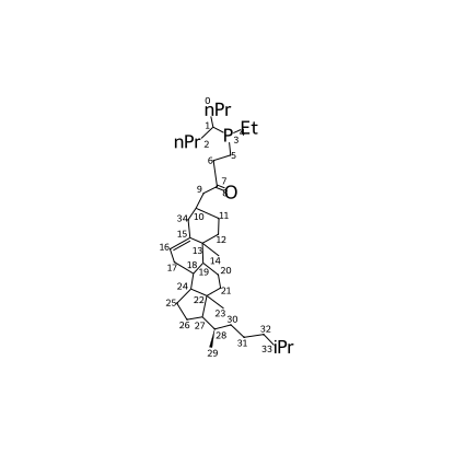 CCCC(CCC)P(CC)CCC(=O)CC1CCC2(C)C(=CCC3C2CCC2(C)C3CCC2[C@H](C)CCCC(C)C)C1